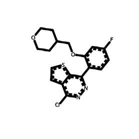 Fc1ccc(-c2nnc(Cl)c3ccsc23)c(OCC2CCOCC2)c1